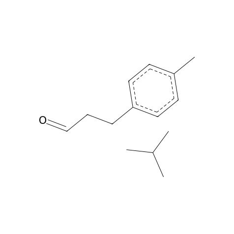 CC(C)C.Cc1ccc(CCC=O)cc1